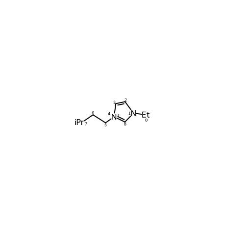 CCn1cc[n+](CCC(C)C)c1